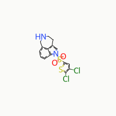 O=S(=O)(c1cc(Cl)c(Cl)s1)n1cc2c3c(cccc31)CNCC2